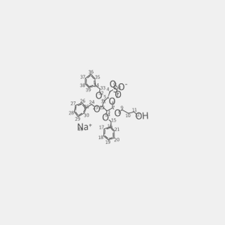 O=S(=O)([O-])C[C@H]1O[C@H](OCCCO)[C@H](OCc2ccccc2)[C@@H](OCc2ccccc2)[C@@H]1OCc1ccccc1.[Na+]